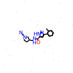 Cc1ccccc1-c1cc(C(=O)NCC2CCN(C#N)C2)[nH]n1